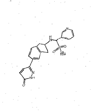 CCCCS(=O)(=O)C(NC1Cc2ccc(-c3ccc(=O)[nH]n3)cc2C1)c1cccnc1